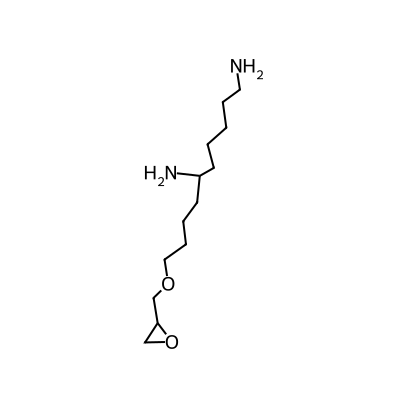 NCCCCCC(N)CCCCOCC1CO1